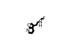 FCNCCc1coc2ncccc12